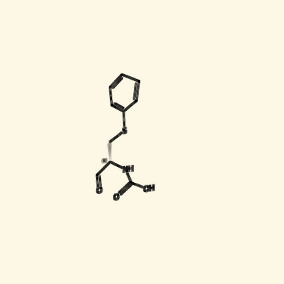 O=C[C@H](CSc1ccccc1)NC(=O)O